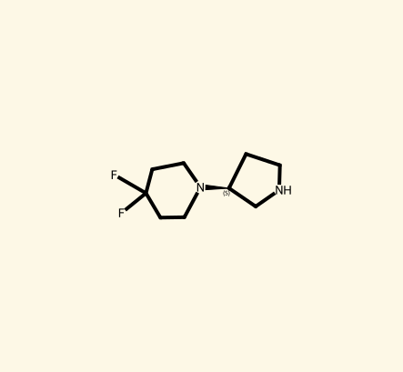 FC1(F)CCN([C@H]2CCNC2)CC1